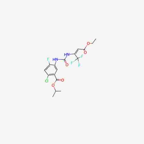 CCOC(=O)/C=C(/NC(=O)Nc1cc(C(=O)OC(C)C)c(Cl)cc1F)C(F)(F)F